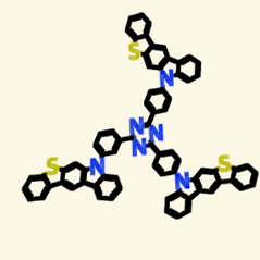 c1cc(-c2nc(-c3ccc(-n4c5ccccc5c5cc6c(cc54)sc4ccccc46)cc3)nc(-c3ccc(-n4c5ccccc5c5cc6c(cc54)sc4ccccc46)cc3)n2)cc(-n2c3ccccc3c3cc4c(cc32)sc2ccccc24)c1